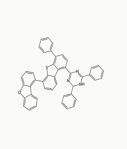 c1ccc(C2=NC(c3ccc(-c4ccccc4)c4sc5c(-c6cccc7oc8ccccc8c67)cccc5c34)=NC(c3ccccc3)N2)cc1